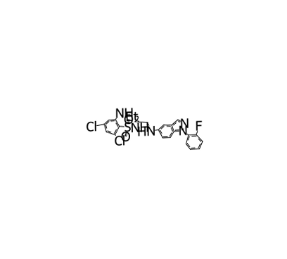 CCC(CNc1ccc2c(cnn2-c2ccccc2F)c1)NS(=O)(=O)c1c(N)cc(Cl)cc1Cl